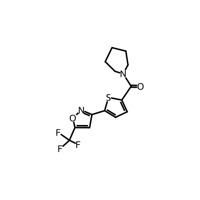 O=C(c1ccc(-c2cc(C(F)(F)F)on2)s1)N1CCCCC1